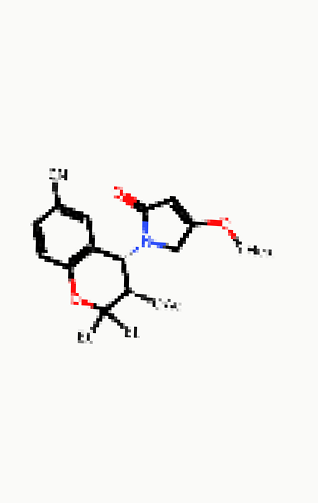 CCCCCCOC1=CC(=O)N([C@H]2c3cc(C#N)ccc3OC(CC)(CC)[C@@H]2OC(C)=O)C1